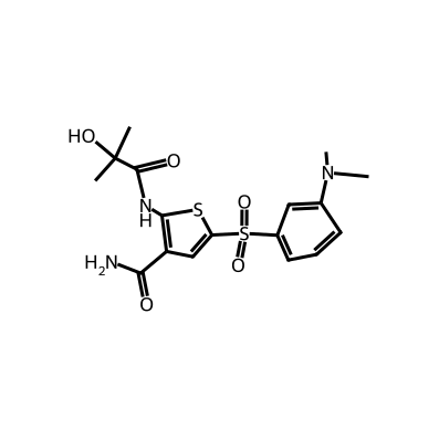 CN(C)c1cccc(S(=O)(=O)c2cc(C(N)=O)c(NC(=O)C(C)(C)O)s2)c1